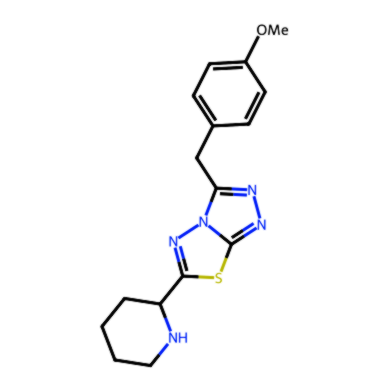 COc1ccc(Cc2nnc3sc(C4CCCCN4)nn23)cc1